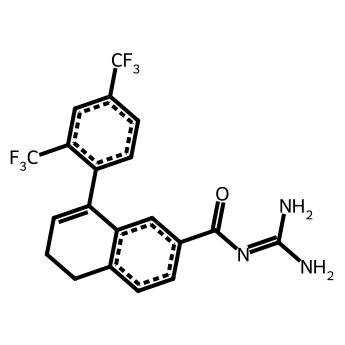 NC(N)=NC(=O)c1ccc2c(c1)C(c1ccc(C(F)(F)F)cc1C(F)(F)F)=CCC2